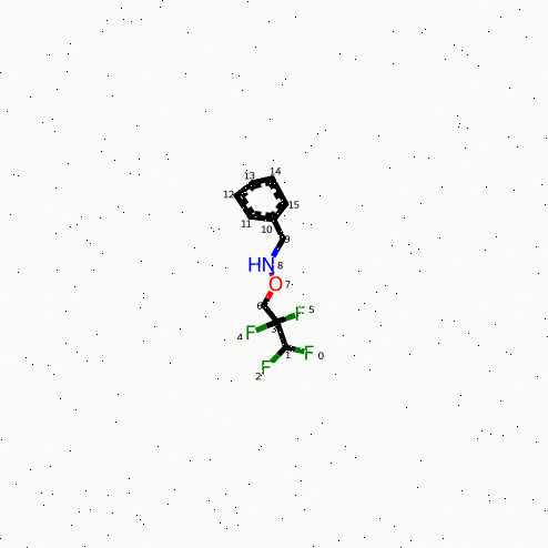 FC(F)C(F)(F)CONCc1ccccc1